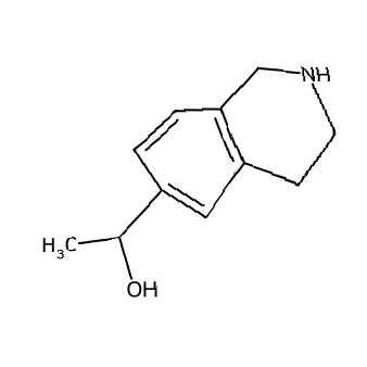 CC(O)c1ccc2c(c1)CCNC2